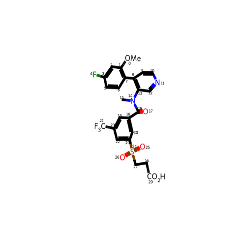 COc1cc(F)ccc1-c1ccncc1N(C)C(=O)c1cc(C(F)(F)F)cc(S(=O)(=O)CCC(=O)O)c1